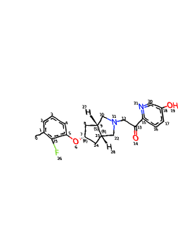 Cc1cccc(O[C@@H]2C[C@@H]3CN(CC(=O)c4ccc(O)cn4)C[C@@H]3C2)c1F